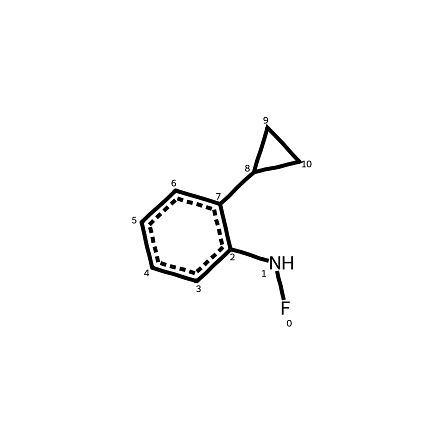 FNc1ccccc1C1CC1